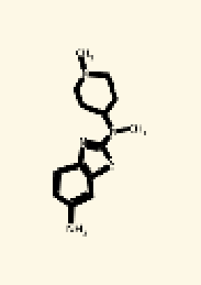 CN1CCC(N(C)c2nc3ccc(N)cc3s2)CC1